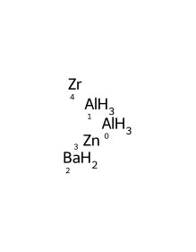 [AlH3].[AlH3].[BaH2].[Zn].[Zr]